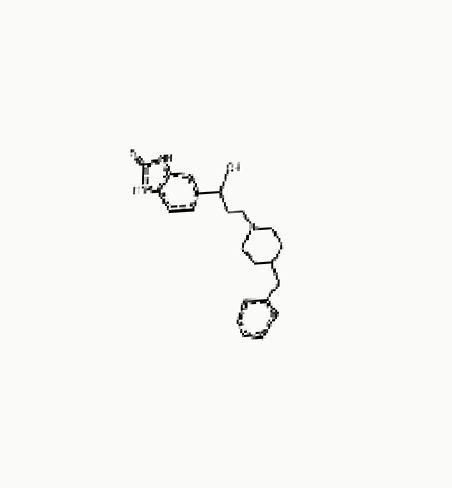 O=c1[nH]c2ccc(C(O)CCN3CCC(Cc4ccccc4)CC3)cc2[nH]1